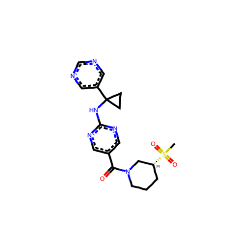 CS(=O)(=O)[C@@H]1CCCN(C(=O)c2cnc(NC3(c4cncnc4)CC3)nc2)C1